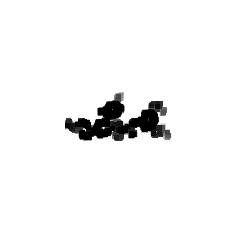 CC(=O)N1CCN([C@@H]2CCN(OC(=O)N(C)Cc3cc(C(F)(F)F)cc(C(F)(F)F)c3)[C@@H](c3ccc(F)cc3C)C2)CC1